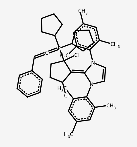 Cc1cc(C)c(N2C=CN(c3c(C)cc(C)cc3C)C2=C2C(Cl)CCC2(Cl)P(=C=Cc2ccccc2)(C2CCCC2)C2CCCC2)c(C)c1